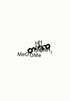 COc1ccc(CC(=O)NC(=N)N[C@H](Cc2ccccc2)C(N)=O)cc1OC